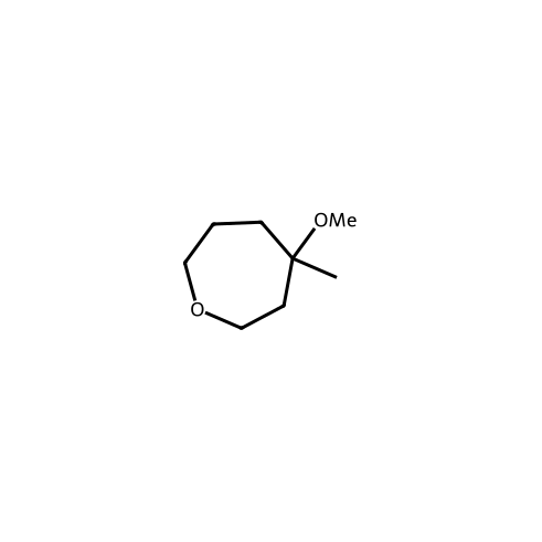 COC1(C)CCCOCC1